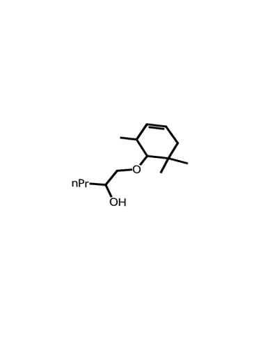 CCCC(O)COC1C(C)C=CCC1(C)C